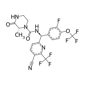 C[C@@H]1C(=O)NCCN1C(=O)N[C@@H](c1ccc(OC(F)(F)F)c(F)c1)c1ccc(C#N)c(C(F)(F)F)n1